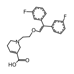 O=C(O)C1=CCCN(CCOC=C(c2cccc(F)c2)c2cccc(F)c2)C1